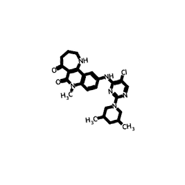 CC1CC(C)CN(c2ncc(Cl)c(Nc3ccc4c(c3)c3c(c(=O)n4C)C(=O)CCCN3)n2)C1